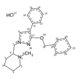 CN1CCCCC1Cn1cc(-c2ccccc2)c(OCc2ccccc2)n1.Cl